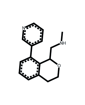 CNCC1OCCc2cccc(-c3cccnc3)c21